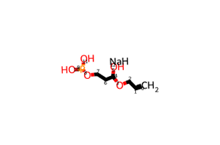 C=CCOC(O)CCOP(O)O.[NaH]